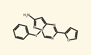 NC1=N[N+]2(Sc3ccccc3)C=NC(c3ccco3)=NC2=C1